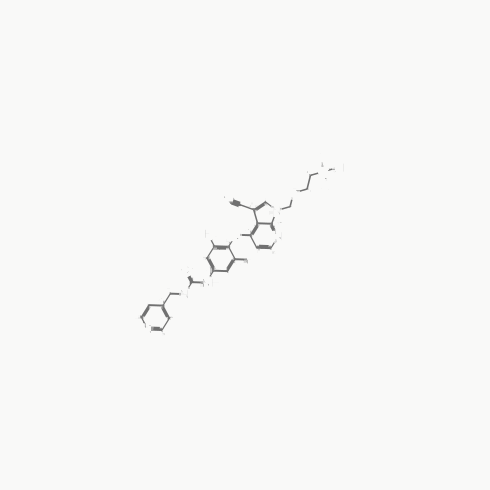 C[Si](C)(C)CCOCn1cc(C#N)c2c(Oc3c(F)cc(NC(=O)NCc4ccncc4)cc3F)ccnc21